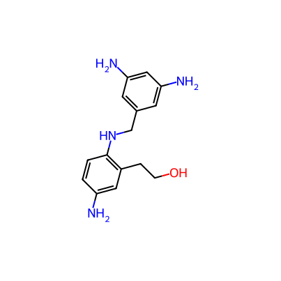 Nc1cc(N)cc(CNc2ccc(N)cc2CCO)c1